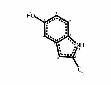 Oc1ccc2[nH]c(Cl)cc2c1